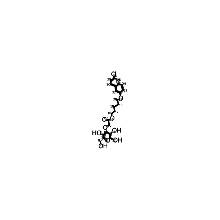 O=C(CO[C@H]1[C@H](O)[C@@H](CO)OC(O)[C@@H]1O)OCCCCCOc1ccc2nc(Cl)ccc2c1